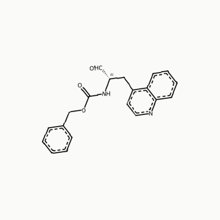 O=C[C@H](Cc1ccnc2ccccc12)NC(=O)OCc1ccccc1